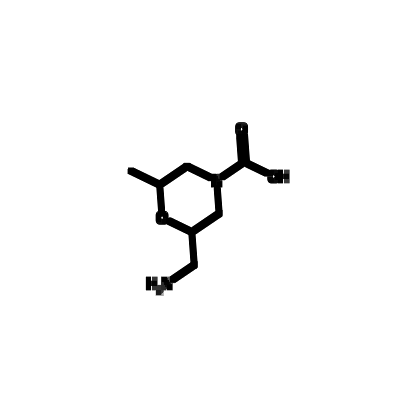 CC1CN(C(=O)O)CC(CN)O1